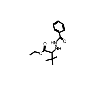 CCOC(=O)C(NNC(=O)c1ccccc1)C(C)(C)C